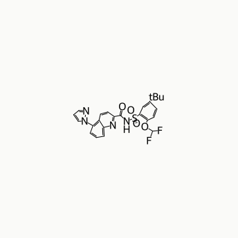 CC(C)(C)c1ccc(OC(F)F)c(S(=O)(=O)NC(=O)c2ccc3c(-n4cccn4)cccc3n2)c1